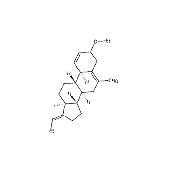 CCC=C1CC[C@H]2[C@@H]3CC(C=O)=C4CC(OCC)C=C[C@@H]4[C@H]3CC[C@]12C